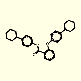 O=C(Oc1ccc(C2CCCCC2)cc1)c1ccccc1Oc1ccc(C2CCCCC2)cc1